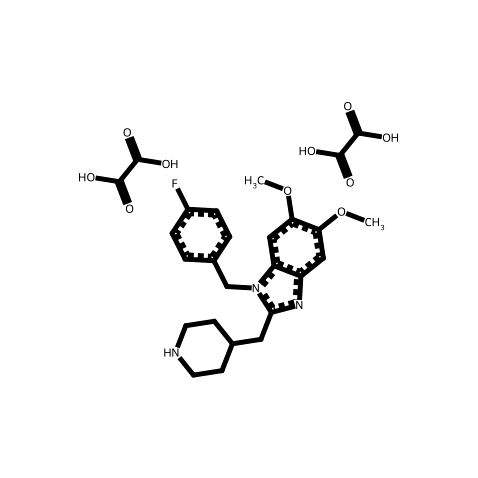 COc1cc2nc(CC3CCNCC3)n(Cc3ccc(F)cc3)c2cc1OC.O=C(O)C(=O)O.O=C(O)C(=O)O